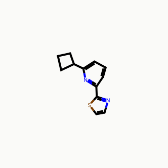 c1cc(-c2nccs2)nc(C2CCC2)c1